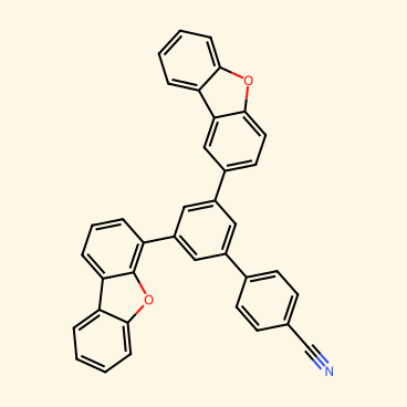 N#Cc1ccc(-c2cc(-c3ccc4oc5ccccc5c4c3)cc(-c3cccc4c3oc3ccccc34)c2)cc1